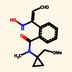 COCC1(N(C)C(=O)c2ccccc2/C(=C\C=O)NO)CC1